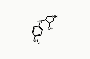 Nc1ccc(NC2CNCC2O)cc1